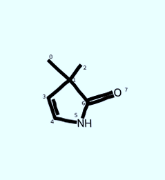 CC1(C)C=CNC1=O